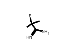 CC(C)(F)C(=N)N